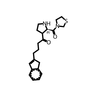 O=C(CCCC1=Cc2ccccc2C1)C1CCN[C@H]1C(=O)N1CCSC1